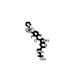 CC(C)(O)c1nc(-c2cnc3[nH]cc(C(=O)c4c(F)ccc(NS(=O)(=O)N5CCCC5)c4F)c3c2)cs1